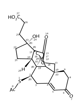 CC(=O)S[C@@H]1CC2=CC(=O)CC[C@@]23COC(=O)[C@]24CCC3[C@@H]1[C@@H]2CC[C@@]4(O)CCC(=O)O